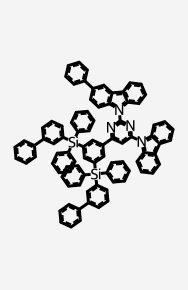 c1ccc(-c2cccc([Si](c3ccccc3)(c3ccccc3)c3cc(-c4cc(-n5c6ccccc6c6ccccc65)nc(-n5c6ccccc6c6cc(-c7ccccc7)ccc65)n4)cc([Si](c4ccccc4)(c4ccccc4)c4cccc(-c5ccccc5)c4)c3)c2)cc1